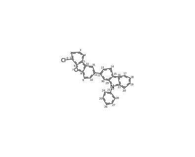 Clc1cccc2c1oc1ccc(-c3ccc4c5ccccc5n(-c5ccccc5)c4c3)cc12